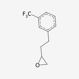 FC(F)(F)c1cccc(CCC2CO2)c1